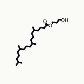 CC(C)CCCC(C)CCCC(C)CCCC(C)CCCC(=O)OCCCO